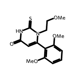 COCCn1c(-c2c(OC)cccc2OC)cc(=O)[nH]c1=S